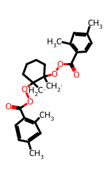 [CH2]C1(OOC(=O)c2ccc(C)cc2C)CCCCC1([CH2])OOC(=O)c1ccc(C)cc1C